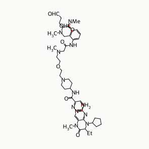 CCC1C(=O)N(C)C(=C/N=C/N)/C(=N\c2ccc(C(=O)NC3CCN(CCOCCN(C)CC(=O)Nc4cccc(C=O)c4CN(C)C(CCC=O)C(=O)NC)CC3)nc2)N1C1CCCC1